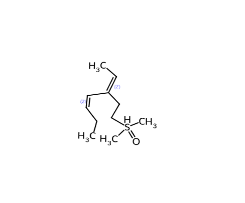 C/C=C(\C=C/CC)CC[SH](C)(C)=O